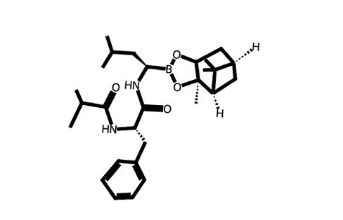 CC(C)C[C@H](NC(=O)[C@H](Cc1ccccc1)NC(=O)C(C)C)B1OC2C[C@H]3C[C@H](C3(C)C)[C@@]2(C)O1